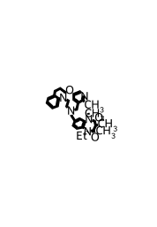 CCN1C(=O)C(C)(C)C(=O)N(C)c2cc(CN(CCN3C(=O)CCc4ccccc43)Cc3cccnc3C)ccc21